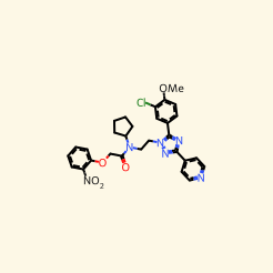 COc1ccc(-c2nc(-c3ccncc3)nn2CCN(C(=O)COc2ccccc2[N+](=O)[O-])C2CCCC2)cc1Cl